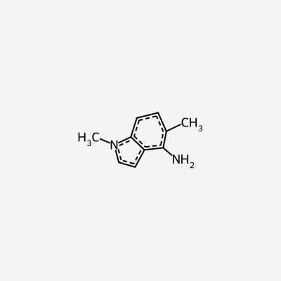 Cc1ccc2c(ccn2C)c1N